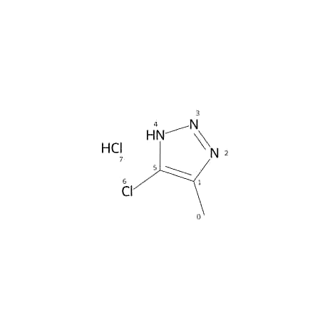 Cc1nn[nH]c1Cl.Cl